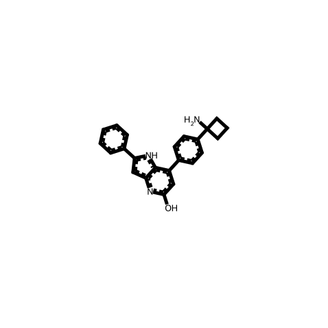 NC1(c2ccc(-c3cc(O)nc4cc(-c5ccccc5)[nH]c34)cc2)CCC1